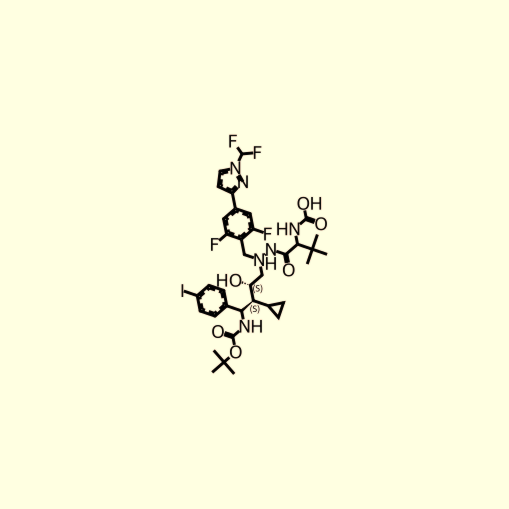 CC(C)(C)OC(=O)NC(c1ccc(I)cc1)[C@H](C1CC1)[C@H](O)CN(Cc1c(F)cc(-c2ccn(C(F)F)n2)cc1F)NC(=O)C(NC(=O)O)C(C)(C)C